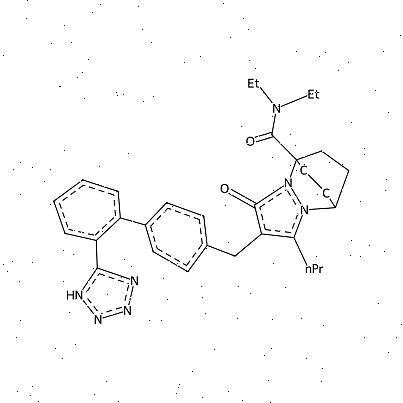 CCCc1c(Cc2ccc(-c3ccccc3-c3nnn[nH]3)cc2)c(=O)n2n1C1CCC2(C(=O)N(CC)CC)CC1